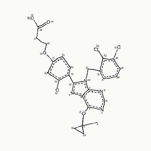 CC1(Oc2ncnc3c2nc(-c2ccc(OCCC(=O)O)cc2Cl)n3Cc2cccc(Cl)c2Cl)CC1